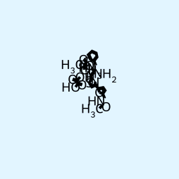 CC(=O)NCc1ccc(-c2csc(/N=C(\N)NCc3ccccc3S(=O)(=O)N(C)C)n2)o1.O=C(O)C(=O)O